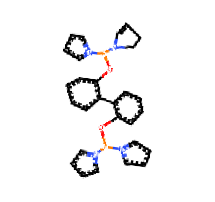 C1=CN(P(Oc2ccccc2-c2ccccc2OP(n2cccc2)n2cccc2)n2cccc2)CC1